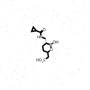 O=C(O)CC1CC[C@H](CNC(=O)C2CC2)B(O)O1